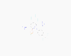 N#Cc1cc(C(F)(F)F)cc(Cl)c1-n1cc(C(F)(F)F)cc(C#N)c1=O